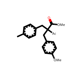 COC(=O)C(Cc1ccc(C)cc1)(Cc1ccc(OC)cc1)C(C)=O